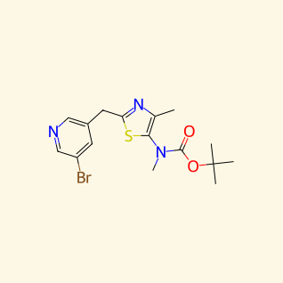 Cc1nc(Cc2cncc(Br)c2)sc1N(C)C(=O)OC(C)(C)C